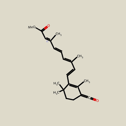 COC(=O)/C=C(\C)C=CC=C(C)C=CC1=C(C)C(=C=O)CCC1(C)C